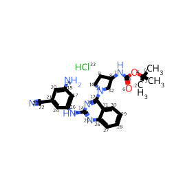 CC(C)(C)OC(=O)NC1CCN(c2nc(Nc3cc(N)cc(C#N)c3)nc3ccccc23)C1.Cl